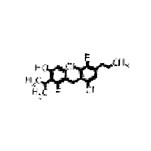 CCCc1cc(Cl)c(Cc2ccc(O)c(C(C)C)c2F)c(Cl)c1F